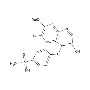 COc1cc2ncc(C#N)c(Oc3ccc([S@@](C)(=N)=O)cc3)c2cc1F